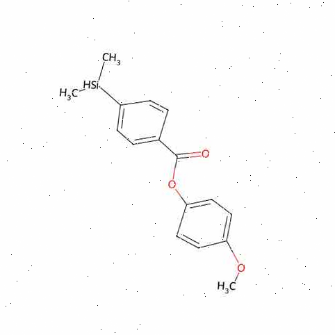 COc1ccc(OC(=O)c2ccc([SiH](C)C)cc2)cc1